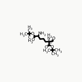 CC(C)(C)OC(=O)C(N)CCC[C@](N)([C]=O)C(=O)OC(C)(C)C